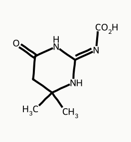 CC1(C)CC(=O)N/C(=N\C(=O)O)N1